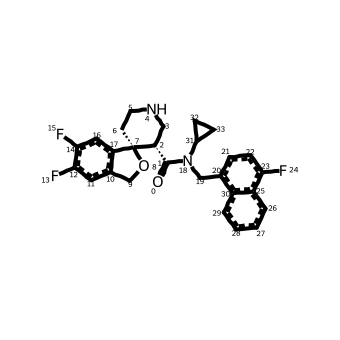 O=C([C@H]1CNCC[C@@]12OCc1cc(F)c(F)cc12)N(Cc1ccc(F)c2ccccc12)C1CC1